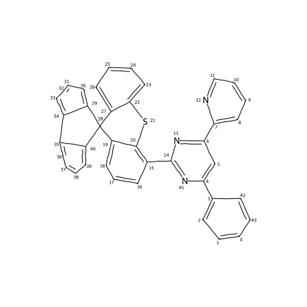 c1ccc(-c2cc(-c3ccccn3)nc(-c3cccc4c3Sc3ccccc3C43c4ccccc4-c4ccccc43)n2)cc1